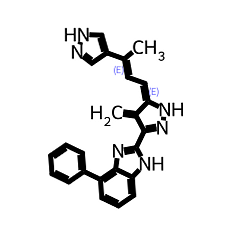 C=c1c(-c2nc3c(-c4ccccc4)cccc3[nH]2)n[nH]/c1=C/C=C(\C)c1cn[nH]c1